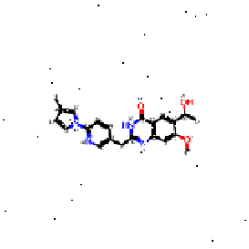 COc1cc2nc(Cc3ccc(-n4ccc(C)c4)nc3)[nH]c(=O)c2cc1C(C)O